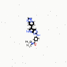 CN(C)C(=O)[C@H]1CC[C@@H](Nc2ncc3c(-c4ccn5ncnc5c4)c[nH]c3n2)CC1